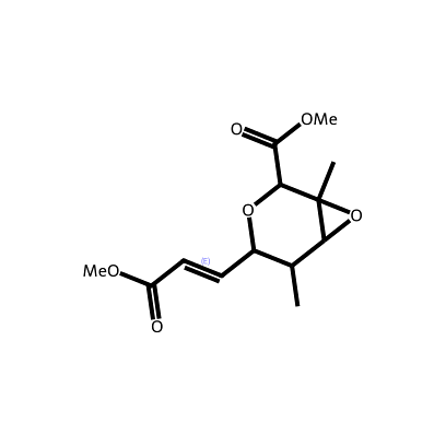 COC(=O)/C=C/C1OC(C(=O)OC)C2(C)OC2C1C